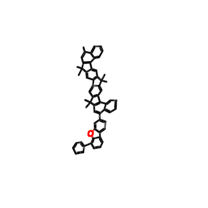 Cc1cc2c(c3ccccc13)-c1cc3c(cc1C2(C)C)-c1cc2c(cc1C3(C)C)-c1c(cc(-c3ccc4c(c3)oc3c(-c5ccccc5)cccc34)c3ccccc13)C2(C)C